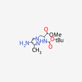 COC(=O)C(Cn1cc(N)c(C)n1)NC(=O)OC(C)(C)C